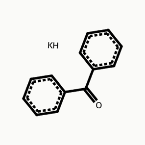 O=C(c1ccccc1)c1ccccc1.[KH]